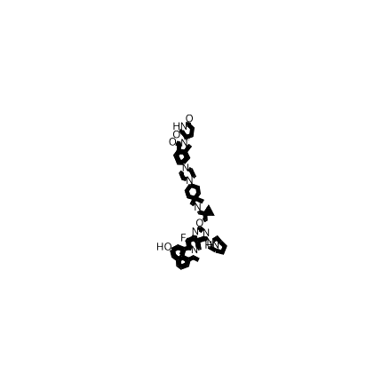 CCc1cccc2cc(O)cc(-c3ncc4c(N5CC6CCC(C5)N6)nc(OCC5(CN6CC7(CCC(N8CCN(c9ccc%10c(c9)CN([C@H]9CCC(=O)NC9=O)C%10=O)CC8)CC7)C6)CC5)nc4c3F)c12